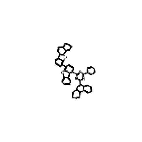 C1=Cc2c(cc(-c3nc(-c4ccccc4)nc(-c4ccc(-c5cccc6c5oc5c7ccccc7ccc65)c5oc6ccccc6c45)n3)c3ccccc23)CC1